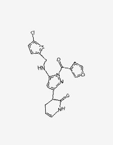 O=C1NC=CCC1c1cc(NCc2ccc(Cl)s2)n(C(=O)c2ccoc2)n1